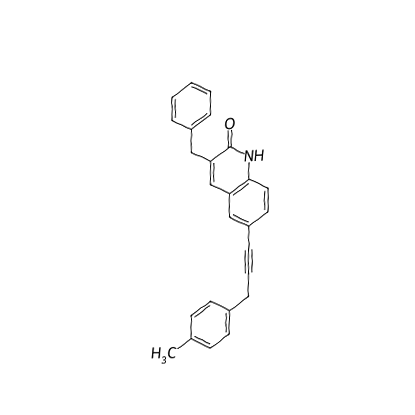 Cc1ccc(CC#Cc2ccc3[nH]c(=O)c(Cc4ccccc4)cc3c2)cc1